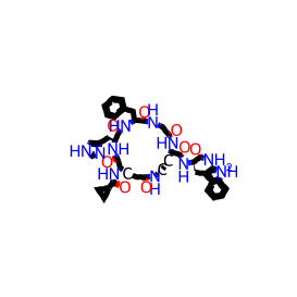 NC(=O)[C@H](Cc1c[nH]c2ccccc12)NC(=O)C1CCNC(=O)CCC(NC(=O)C2CC2)C(=O)N[C@@H](Cc2c[nH]cn2)C(=O)NC(Cc2ccccc2)C(=O)NCC(=O)N1